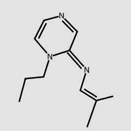 CCCn1ccnc/c1=N/C=C(C)C